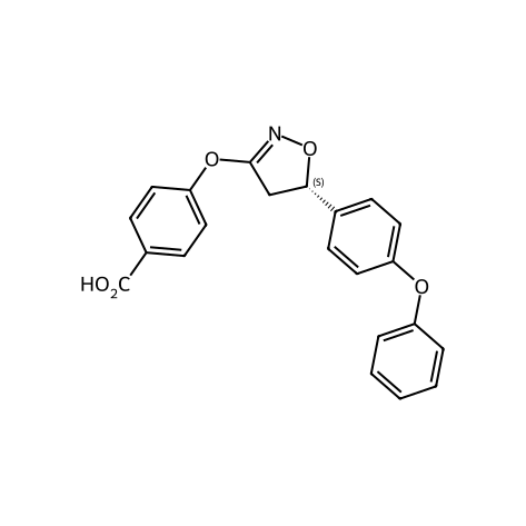 O=C(O)c1ccc(OC2=NO[C@H](c3ccc(Oc4ccccc4)cc3)C2)cc1